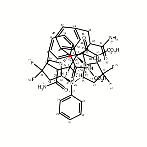 CC1(C)C(C(N)=O)Cc2ccc(cc2)[C@@]1(C(=O)NC(=O)O)N1CC(F)(F)C[C@@H]1N(c1ccccc1)[C@H]1CC(F)(F)CN1[C@]1(C(=O)NC(=O)O)c2ccc(cc2)CC(C(N)=O)C1(C)C